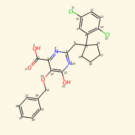 O=C(O)c1nc(CC2(c3cc(Cl)ccc3Cl)CCCC2)nc(O)c1OCc1ccccc1